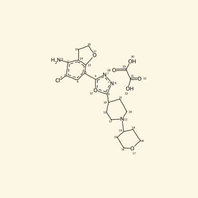 Nc1c(Cl)cc(-c2nnc(C3CCN(C4CCOCC4)CC3)o2)c2c1CCO2.O=C(O)C(=O)O